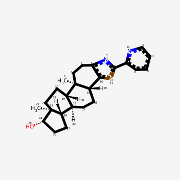 C[C@]12CCc3nc(-c4ccccn4)sc3[C@@H]1CC[C@@H]1[C@@H]2CC[C@]2(C)[C@@H](O)CC[C@@H]12